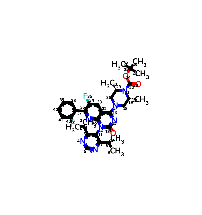 CC(C)c1ncnc(C(C)C)c1-n1c(=O)nc(N2C[C@@H](C)N(C(=O)OC(C)(C)C)[C@@H](C)C2)c2cc(F)c(-c3ccccc3F)nc21